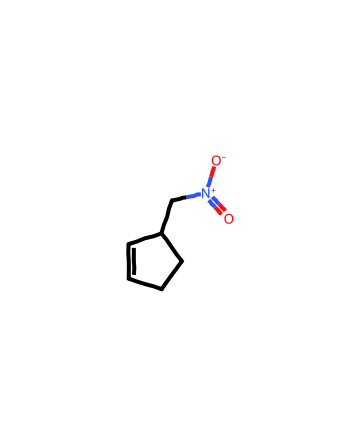 O=[N+]([O-])CC1C=CCC1